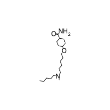 CCCCCN(C)CCCCCCOC1CCC(C(N)=O)CC1